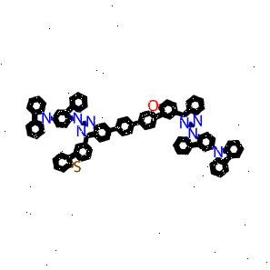 c1ccc2c(-c3ccc4oc5cc(-c6ccc(-c7ccc8c(-c9ccc%10sc%11ccccc%11c%10c9)nc(-n9c%10ccccc%10c%10cc(-n%11c%12ccccc%12c%12ccccc%12%11)ccc%109)nc8c7)cc6)ccc5c4c3)nc(-n3c4ccccc4c4cc(-n5c6ccccc6c6ccccc65)ccc43)nc2c1